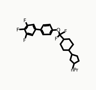 CCCC1CCC(C2CCC(C(F)(F)Oc3ccc(-c4cc(F)c(F)c(F)c4)cc3)CC2)C1